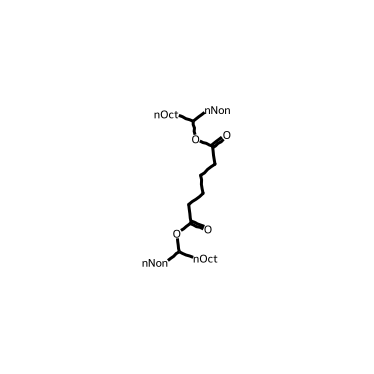 CCCCCCCCCC(CCCCCCCC)OC(=O)CCCCC(=O)OC(CCCCCCCC)CCCCCCCCC